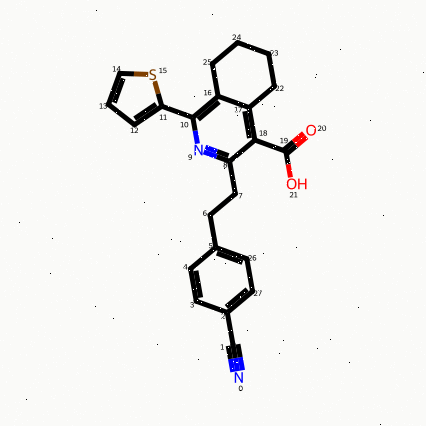 N#Cc1ccc(CCc2nc(-c3cccs3)c3c(c2C(=O)O)CCCC3)cc1